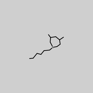 CCCCCCN1CCC(C)CC(C)C1